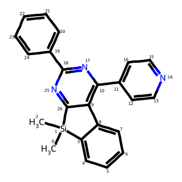 C[Si]1(C)c2ccccc2-c2c(-c3ccncc3)nc(-c3ccccc3)nc21